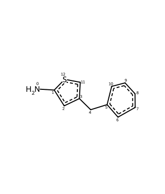 Nc1cc(Cc2ccccc2)cs1